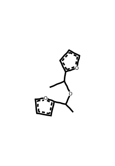 CC(OC(C)c1ccco1)c1ccco1